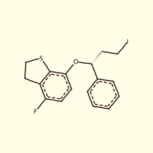 Fc1ccc(O[C@H](CCI)c2ccccc2)c2c1CCS2